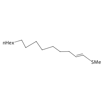 CCCCCCCCCCCCCC=CSC